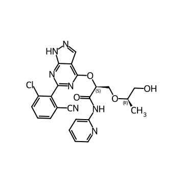 C[C@H](CO)OC[C@H](Oc1nc(-c2c(Cl)cccc2C#N)nc2[nH]ncc12)C(=O)Nc1ccccn1